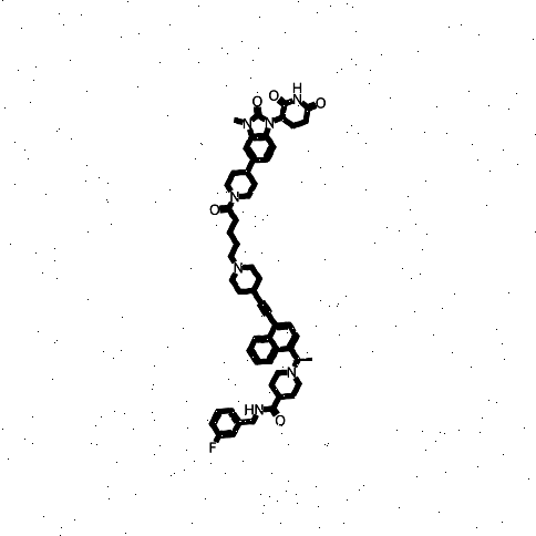 C[C@H](c1ccc(C#CC2CCN(CCCCC(=O)N3CCC(c4ccc5c(c4)n(C)c(=O)n5C4CCC(=O)NC4=O)CC3)CC2)c2ccccc12)N1CCC(C(=O)NCc2cccc(F)c2)CC1